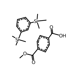 COC(=O)c1ccc(C(=O)O)cc1.C[Si](C)(C)c1cccc([Si](C)(C)C)c1